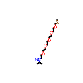 CSCOCCOCCOCCOCCOCCNC(C)C